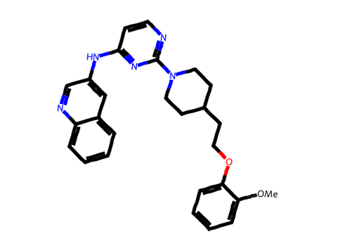 COc1c[c]ccc1OCCC1CCN(c2nccc(Nc3cnc4ccccc4c3)n2)CC1